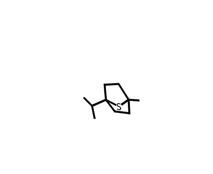 CC(C)C12CCC(C)(CC1)S2